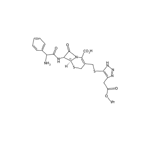 CC(C)OC(=O)Cc1nn[nH]c1SCC1=C(C(=O)O)N2C(=O)C(NC(=O)C(N)c3ccccc3)[C@@H]2SC1